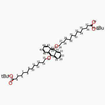 CC(C)(C)OC(=O)CCCCCCCCCCCCOc1c2ccccc2c(OCCCCCCCCCCCCC(=O)OC(C)(C)C)c2ccccc12